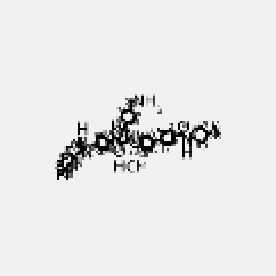 Cc1cc(C(=O)NC2CCC(N(C)C)CC2)ccc1-c1ccc(C[C@H](NC(=O)C2CCC(CN)CC2)C(=O)Nc2ccc(-c3nc(C(F)(F)C(F)(F)C(F)(F)F)n[nH]3)cc2)cc1.Cl